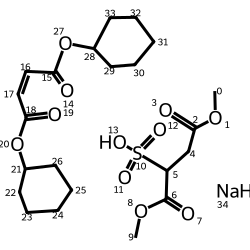 COC(=O)CC(C(=O)OC)S(=O)(=O)O.O=C(/C=C\C(=O)OC1CCCCC1)OC1CCCCC1.[NaH]